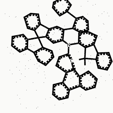 CC1(C)c2ccccc2-c2cccc(N(c3ccc4c5ccccc5c5ccccc5c4c3)c3cc4c(cc3-c3ccccc3-c3ccccc3)-c3ccccc3C43c4ccccc4-c4ccccc43)c21